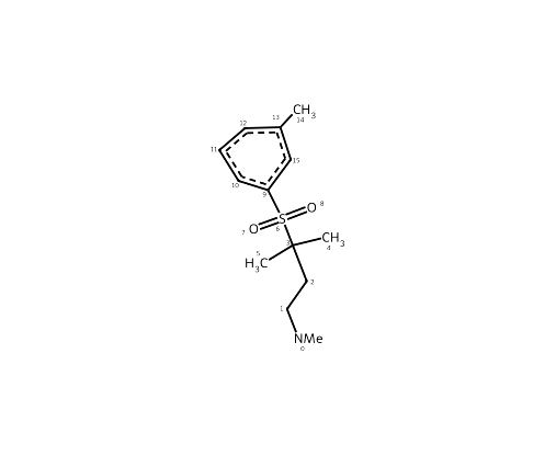 CNCCC(C)(C)S(=O)(=O)c1cccc(C)c1